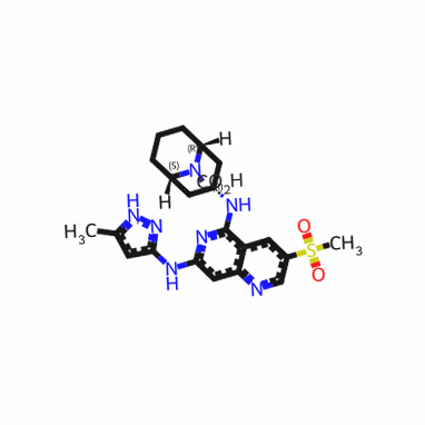 Cc1cc(Nc2cc3ncc(S(C)(=O)=O)cc3c(N[C@H]3C[C@H]4CCC[C@@H](C3)N4C(=O)O)n2)n[nH]1